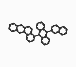 c1ccc2cc(-c3c4ccccc4c(-c4cccc5c4ccc4cc6ccccc6cc45)c4ccccc34)ccc2c1